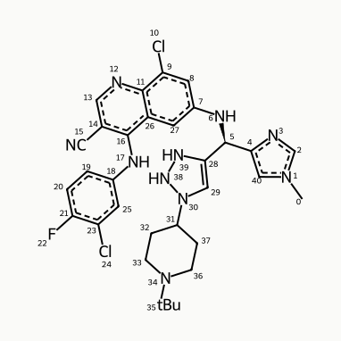 Cn1cnc([C@H](Nc2cc(Cl)c3ncc(C#N)c(Nc4ccc(F)c(Cl)c4)c3c2)C2=CN(C3CCN(C(C)(C)C)CC3)NN2)c1